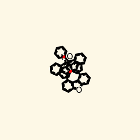 O=[N+]([O-])c1c2ccccc2c(-c2cccc3oc4cccc(-c5c6ccccc6c(-c6ccccc6)c6ccccc56)c4c23)c2ccccc12